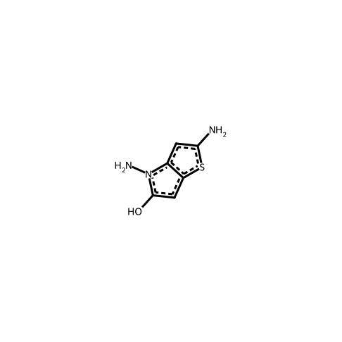 Nc1cc2c(cc(O)n2N)s1